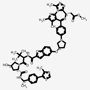 COC(=O)C[C@@H]1N=C(c2ccc(N3CC[C@@H](Oc4ccc5oc(C(=O)NC(C(=O)N6C[C@H](O)C[C@H]6C(=O)N[C@@H](C)c6ccc(-c7scnc7C)cc6)C(C)(C)C)cc5c4)C3)cc2)c2c(sc(C)c2C)-n2c(C)nnc21